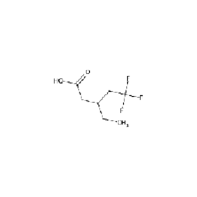 CCC(CC(=O)O)CC(F)(F)F